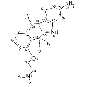 CN(C)CCOc1cccc2c1C(C)(C)c1[nH]c3c(c1C2=O)CCC(N)=C3